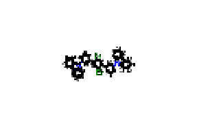 Brc1cc(-c2cccc(-n3c4ccccc4c4ccccc43)c2)c(Br)cc1-c1cccc(-n2c3ccccc3c3ccccc32)c1